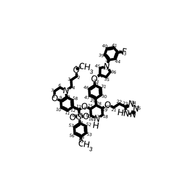 COCCCN1CCOc2ccc(C(OC3CNCC(OCCc4nnn[nH]4)C3c3ccc(OC4CCN(c5cccc(F)c5)C4)cc3)S(=O)(=O)c3ccc(C)cc3)cc21